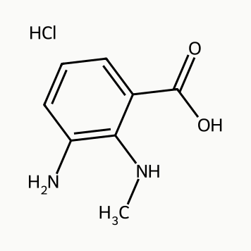 CNc1c(N)cccc1C(=O)O.Cl